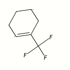 FC(F)(F)C1=[C]CC[CH]C1